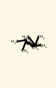 CCCCCCCCCCC(C)CN(CCN1CCN(CCN(CC(C)CCCCCCCCCC)CC(N)CCCCCCCCCC)CC1)CCN(CC(C)CCCCCCCCCC)CC(C)CCCCCCCCCC